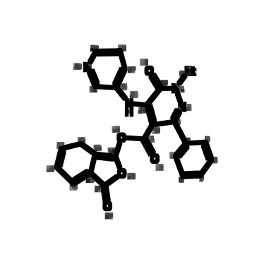 CCn1nc(-c2ccccc2)c(C(=O)OC2=C3CC=CC=C3C(=O)O2)c(Nc2cccnc2)c1=O